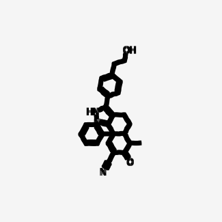 CC1C(=O)C(C#N)=CC2(c3ccccc3)c3n[nH]c(-c4ccc(CCO)cc4)c3CCC12